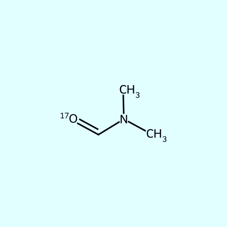 CN(C)C=[17O]